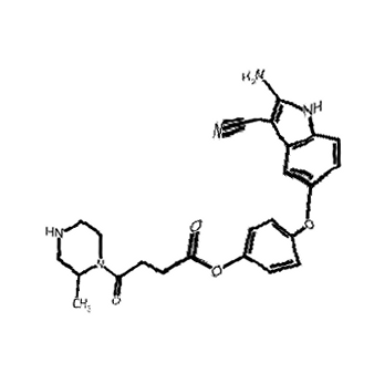 CC1CNCCN1C(=O)CCC(=O)Oc1ccc(Oc2ccc3[nH]c(N)c(C#N)c3c2)cc1